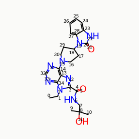 CCn1c(C(=O)NCC(C)(C)O)nc2c(N3CCC(n4c(=O)[nH]c5ccccc54)CC3)ncnc21